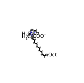 CCCCCCCC/C=C\CCCCCCCCC(C)(C(=O)[O-])[N+](C)(C)CC